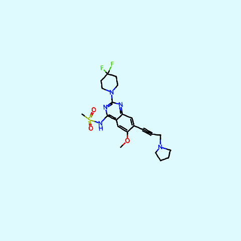 COc1cc2c(NS(C)(=O)=O)nc(N3CCC(F)(F)CC3)nc2cc1C#CCN1CCCC1